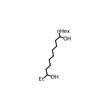 CCCCCCC(O)CCCCCCCC(O)CC